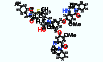 COc1cc2c(cc1OCc1cc(COc3cc4c(cc3OC)C(=O)N3c5ccccc5C[C@H]3CN4)cc(N(CCCC(C)(C)SC3CC(=O)N(CC4CCC(C(C)=O)CC4)C3=O)C(C)(C)CO)c1)N=C[C@@H]1Cc3ccccc3N1C2=O